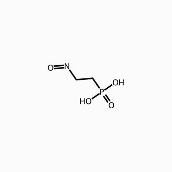 O=NCCP(=O)(O)O